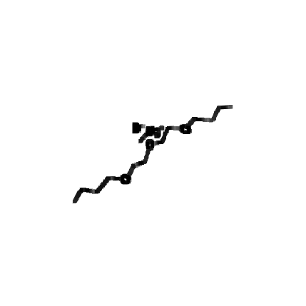 CCCCOCCOCCOCCCC.[Br-].[CH3][Mg+]